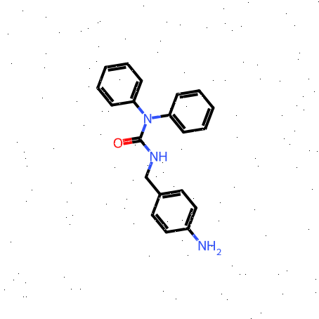 Nc1ccc(CNC(=O)N(c2ccccc2)c2ccccc2)cc1